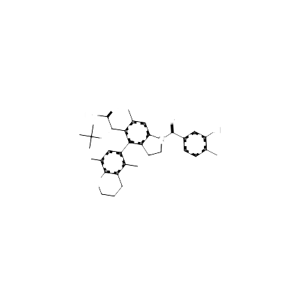 Cc1ccc(C(=O)N2CCc3c2cc(C)c([C@H](OC(C)(C)C)C(=O)O)c3-c2cc(F)c3c(c2C)CCCO3)cc1Cl